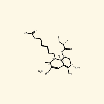 CC[C@H](C)C(=O)O[C@H]1C[C@H](O)C(O)=C2C=C(O)[C@@H](C)[C@@H](CCCCCCC(=O)O)[C@H]21.[NaH]